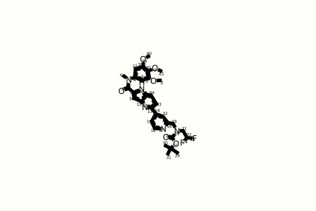 COc1cc(N(C)C(=O)c2cc3nc(-c4ccnc(CN(CC(F)F)C(=O)OC(C)(C)C)c4)ccc3[nH]2)cc(OC)c1OC